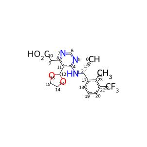 C#C[C@@H](Nc1ncnc(CC(=O)O)c1C1OCCO1)c1cccc(C(F)(F)F)c1C